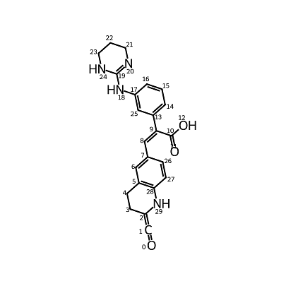 O=C=C1CCc2cc(C=C(C(=O)O)c3cccc(NC4=NCCCN4)c3)ccc2N1